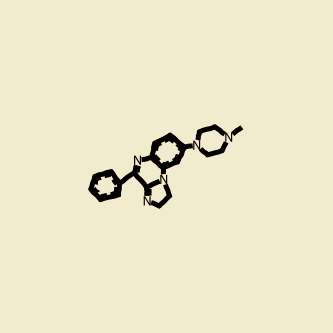 CN1CCN(c2ccc3c(c2)N2CCN=C2C(c2ccccc2)=N3)CC1